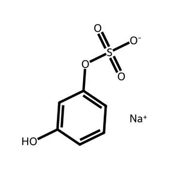 O=S(=O)([O-])Oc1cccc(O)c1.[Na+]